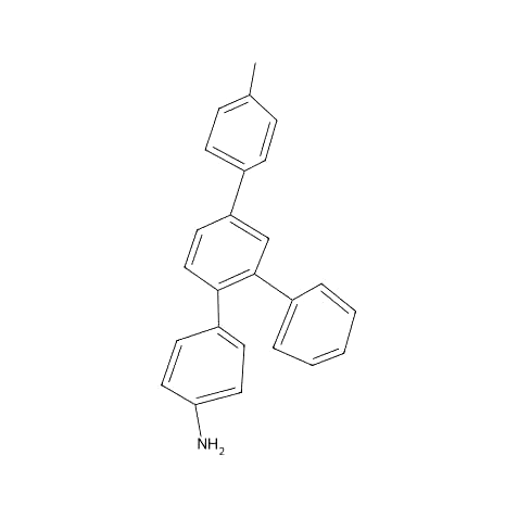 Cc1ccc(-c2ccc(-c3ccc(N)cc3)c(-c3ccccc3)c2)cc1